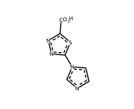 O=C(O)c1nnc(-n2ccnc2)s1